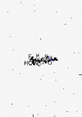 C=C(C)/C=C(\N=C/C)C(=O)NC(C)c1ncc(C(=O)Nc2cc(C(C)(C)F)c(O)cn2)s1